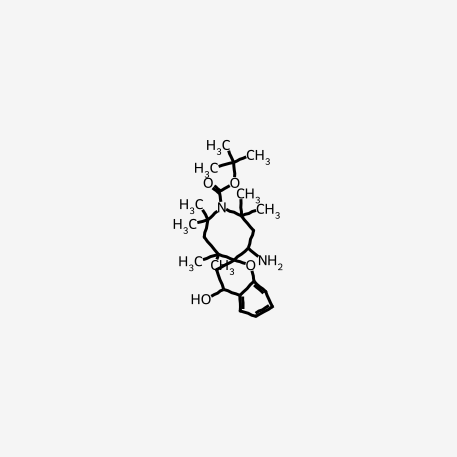 CC(C)(C)OC(=O)N1C(C)(C)CC(N)C2(CC(O)c3ccccc3O2)C(C)(C)CC1(C)C